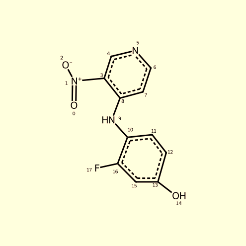 O=[N+]([O-])c1cnccc1Nc1ccc(O)cc1F